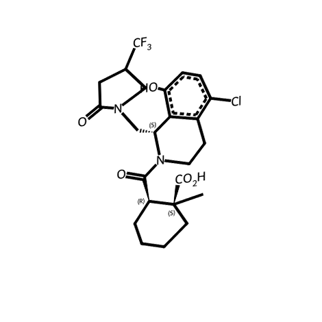 C[C@]1(C(=O)O)CCCC[C@H]1C(=O)N1CCc2c(Cl)ccc(O)c2[C@H]1CN1CC(C(F)(F)F)CC1=O